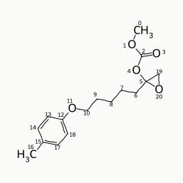 COC(=O)OC1(CCCCCOc2ccc(C)cc2)CO1